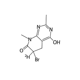 [2H]C1(Br)Cc2c(O)nc(C)nc2N(C)C1=O